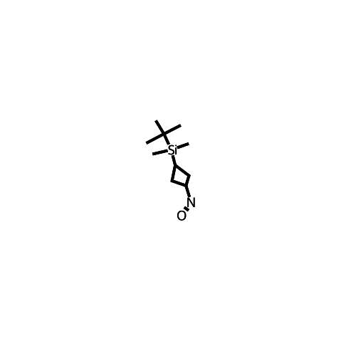 CC(C)(C)[Si](C)(C)C1CC(N=O)C1